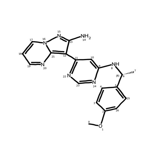 COc1ccc([C@@H](C)Nc2cc(-c3c(N)nn4cccnc34)ncn2)cc1